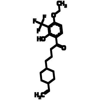 C=CC1CCC(CCCC(=O)c2ccc(OCC)c(C(F)(F)F)c2O)CC1